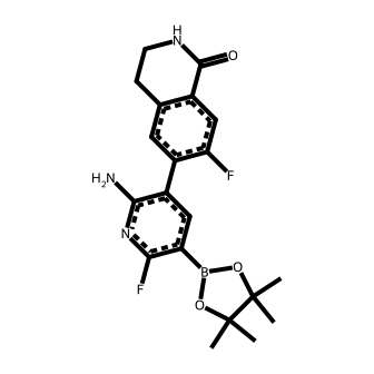 CC1(C)OB(c2cc(-c3cc4c(cc3F)C(=O)NCC4)c(N)nc2F)OC1(C)C